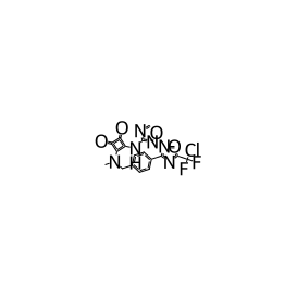 CN(Cc1ccc(-c2noc(C(F)(F)Cl)n2)cc1)c1c(Nc2ncon2)c(=O)c1=O